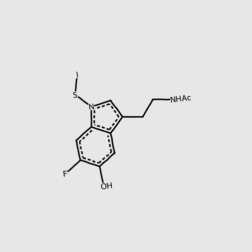 CC(=O)NCCc1cn(SI)c2cc(F)c(O)cc12